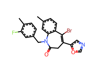 Cc1ccc2c(c1)N(Cc1ccc(C)c(F)c1)C(=O)CC(c1cnco1)=C2Br